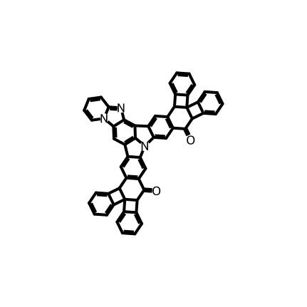 O=C1c2cc3c(cc2C2c4ccccc4C24c2ccccc2C14)c1cc2c(nc4ccccn42)c2c4cc5c(cc4n3c12)C(=O)C1c2ccccc2C12c1ccccc1C52